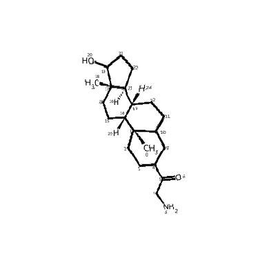 C[C@]12CCC(C(=O)CN)CC1CC[C@@H]1[C@H]2CC[C@]2(C)C(O)CC[C@@H]12